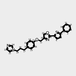 c1ccc(-c2ccc(-c3nc(COc4ccc(CCCn5ccnc5)cc4)co3)s2)cc1